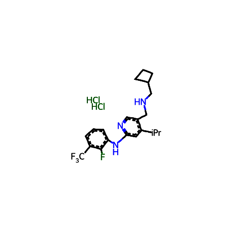 CC(C)c1cc(Nc2cccc(C(F)(F)F)c2F)ncc1CNCC1CCC1.Cl.Cl